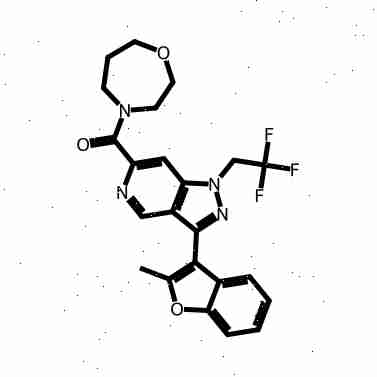 Cc1oc2ccccc2c1-c1nn(CC(F)(F)F)c2cc(C(=O)N3CCCOCC3)ncc12